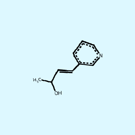 CC(O)/C=C/c1cccnc1